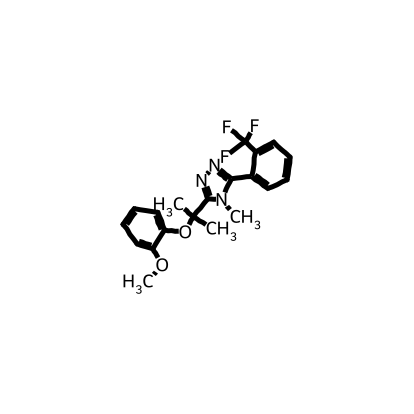 COc1ccccc1OC(C)(C)c1nnc(-c2ccccc2C(F)(F)F)n1C